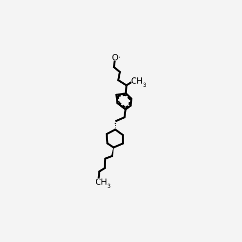 CCCCC[C@H]1CC[C@H](CCc2ccc(C(C)CCC[O])cc2)CC1